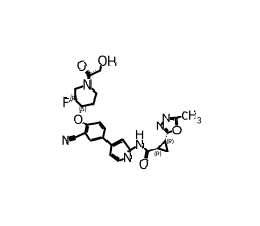 Cc1nnc([C@@H]2C[C@H]2C(=O)Nc2cc(-c3ccc(O[C@H]4CCN(C(=O)CO)C[C@H]4F)c(C#N)c3)ccn2)o1